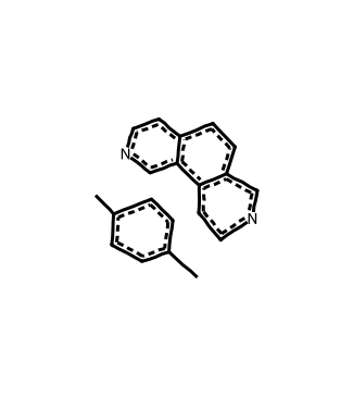 Cc1ccc(C)cc1.c1cc2c(ccc3ccncc32)cn1